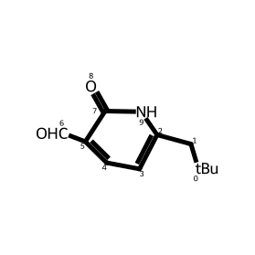 CC(C)(C)Cc1ccc(C=O)c(=O)[nH]1